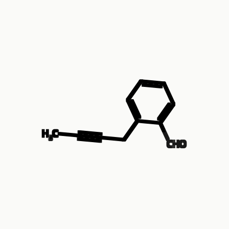 CC#CCc1ccccc1C=O